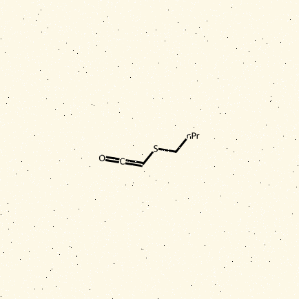 CCCCSC=C=O